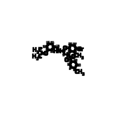 Cc1ccc(S(=O)(=O)N(CC(=O)NCc2cccc(OC(C)C)c2)c2cccc(Br)c2C)cc1